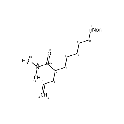 C=CCC(CCCCCCCCCCCCCC)C(=O)N(C)C